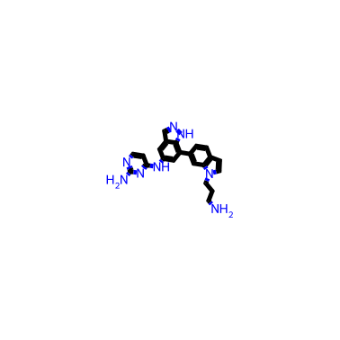 NCCCn1ccc2ccc(-c3cc(Nc4ccnc(N)n4)cc4cn[nH]c34)cc21